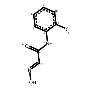 O=C(C=NO)Nc1ccccc1Cl